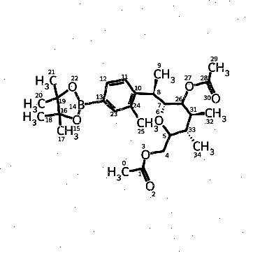 CC(=O)OCC1O[C@H]([C@H](C)c2ccc(B3OC(C)(C)C(C)(C)O3)cc2C)C(OC(C)=O)[C@@H](C)[C@@H]1C